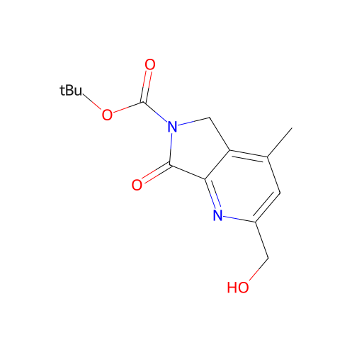 Cc1cc(CO)nc2c1CN(C(=O)OC(C)(C)C)C2=O